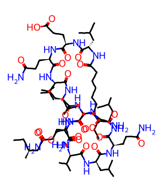 CCCCCCCCCC(=O)N[C@@H](CC(C)C)C(=O)N[C@H](CCC(=O)O)C(=O)N[C@H](CCC(N)=O)C(=O)N[C@@H](C(=O)N[C@H](CC(C)C)C(=O)N[C@@H](CCC(N)=O)C(=O)N[C@H](COC(=O)C[C@@H](C)CC)C(=O)N[C@@H](C(=O)N[C@H](CC(C)C)C(=O)N[C@H](CCC(N)=O)C(=O)N[C@H](CC(C)C)C(=O)N[C@@H](CC(C)C)C(=O)N[C@H](CCC(N)=O)C(N)=O)C(C)C)C(C)C